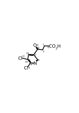 O=C(O)CCC(=O)c1cnc(Cl)c(Cl)c1